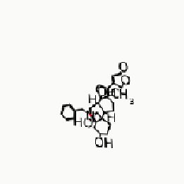 CC12CC[C@H]3[C@@H](CCC4(O)C[C@H](O)CCC34/C=N/Cc3ccccc3)C1(O)CCC2C1=CC(=O)OC1